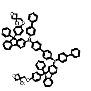 CCC1(COc2ccc(C3(c4ccccc4)c4ccccc4-c4ccc(N(c5ccc(-c6ccccc6)cc5)c5ccc(-c6ccc(N(c7ccc(-c8ccccc8)cc7)c7ccc8c(c7)C(c7ccccc7)(c7ccc(OCC9(CC)COC9)cc7)c7ccccc7-8)cc6)cc5)cc43)cc2)COC1